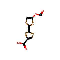 O=COC1=CS/C(=C2/SC=C(C(=O)O)S2)S1